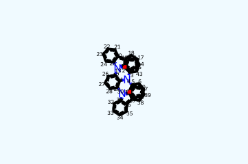 c1ccc(N(c2ccccc2)c2c(-n3c4ccccc4c4ccccc43)cccc2-n2c3ccccc3c3ccccc32)cc1